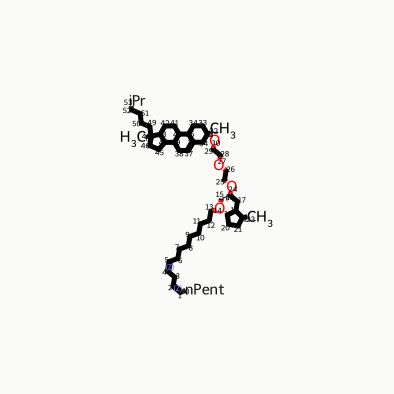 CCCCC/C=C\C/C=C\CCCCCCCCOC[C@@H](CC1CCCC1C)OCCOCCO[C@@]1(C)CCC2C(=CCC3C2CCC2C3CC[C@]2(C)CCCCC(C)C)C1